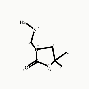 CC1(C)CN(CSS)C(=O)O1